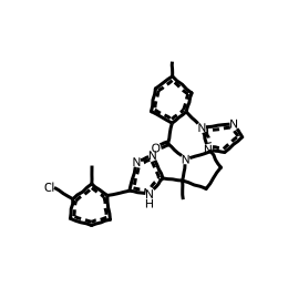 Cc1ccc(C(=O)N2CCCC2(C)c2nnc(-c3cccc(Cl)c3C)[nH]2)c(-n2nccn2)c1